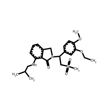 CCOc1cc(C(CS(C)(=O)=O)N2Cc3cccc(NCC(C)C)c3C2=O)ccc1OC